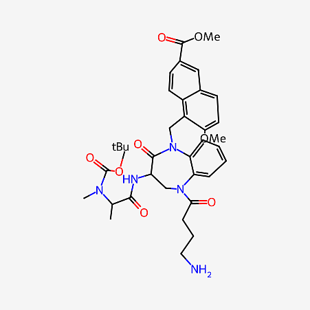 COC(=O)c1ccc2c(CN3C(=O)C(NC(=O)C(C)N(C)C(=O)OC(C)(C)C)CN(C(=O)CCCN)c4ccccc43)c(OC)ccc2c1